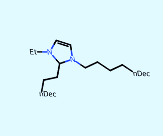 CCCCCCCCCCCCCCN1C=CN(CC)C1CCCCCCCCCCCC